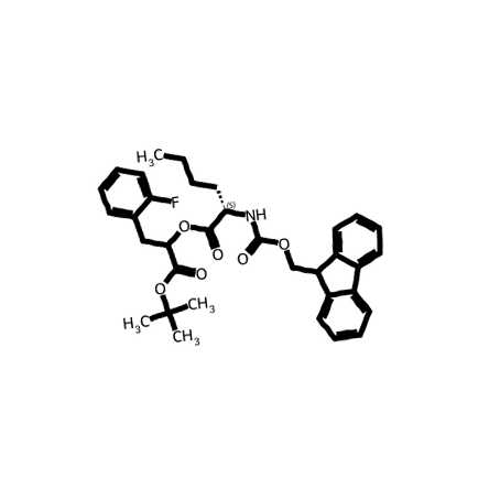 CCCC[C@H](NC(=O)OCC1c2ccccc2-c2ccccc21)C(=O)OC(Cc1ccccc1F)C(=O)OC(C)(C)C